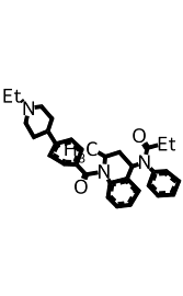 CCC(=O)N(c1ccccc1)C1CC(C)N(C(=O)c2ccc(C3CCN(CC)CC3)cc2)c2ccccc21